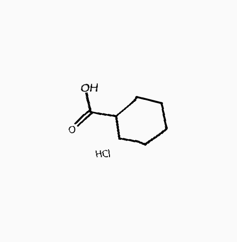 Cl.O=C(O)C1CCCCC1